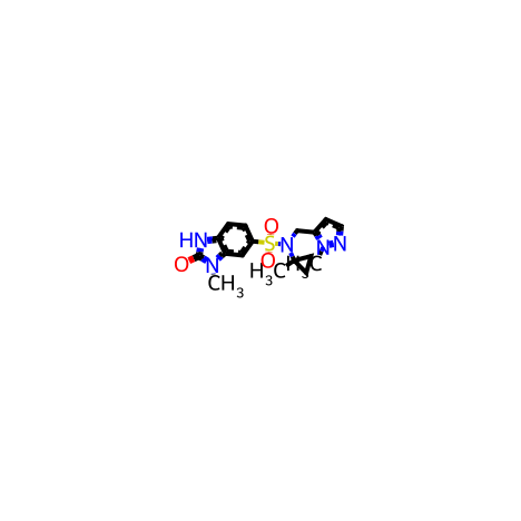 Cn1nccc1CN(C1(C)CC1)S(=O)(=O)c1ccc2[nH]c(=O)n(C)c2c1